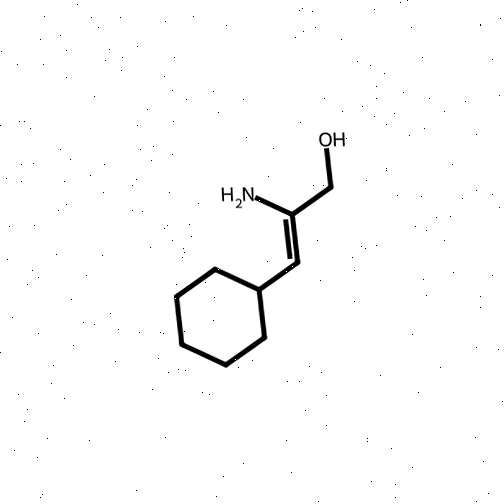 N/C(=C\C1CCCCC1)CO